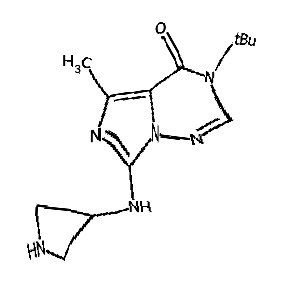 Cc1nc(NC2CNC2)n2ncn(C(C)(C)C)c(=O)c12